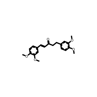 COc1ccc(/C=C/C(=O)CCc2ccc(OC)c(OC)c2)cc1OC